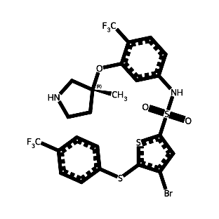 C[C@@]1(Oc2cc(NS(=O)(=O)c3cc(Br)c(Sc4ccc(C(F)(F)F)cc4)s3)ccc2C(F)(F)F)CCNC1